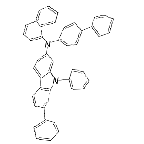 c1ccc(-c2ccc(N(c3ccc4c5ccc(-c6ccccc6)cc5n(-c5ccccc5)c4c3)c3cccc4ccccc34)cc2)cc1